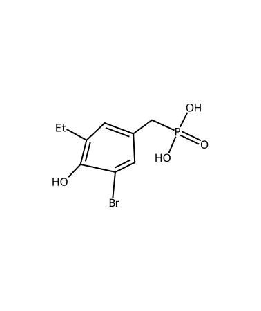 CCc1cc(CP(=O)(O)O)cc(Br)c1O